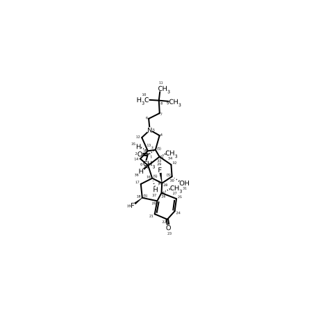 CC(=O)[C@@]12CN(CCC(C)(C)C)C[C@@H]1C[C@H]1[C@@H]3C[C@H](F)C4=CC(=O)C=C[C@]4(C)[C@@]3(F)[C@@H](O)C[C@@]12C